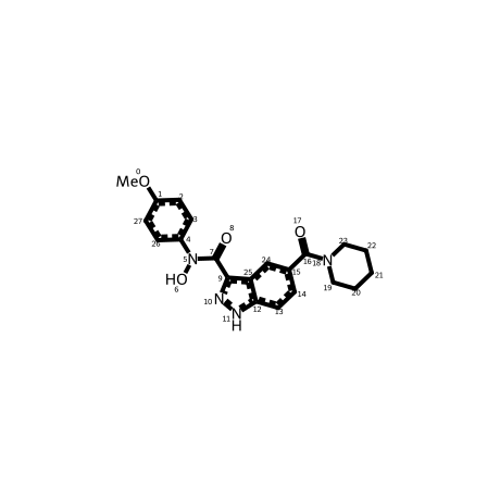 COc1ccc(N(O)C(=O)c2n[nH]c3ccc(C(=O)N4CCCCC4)cc23)cc1